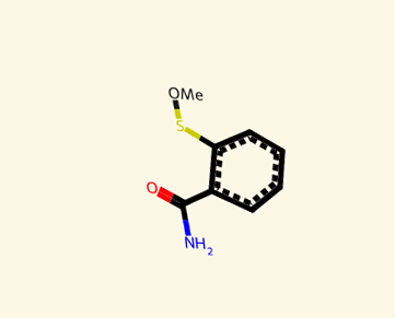 COSc1ccccc1C(N)=O